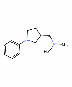 CN(C)C[C@@H]1CCN(c2ccccc2)C1